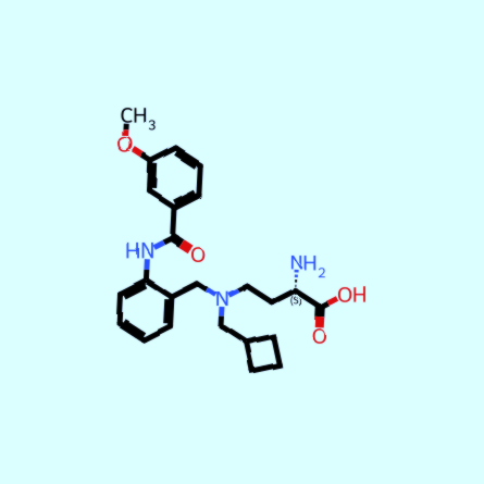 COc1cccc(C(=O)Nc2ccccc2CN(CC[C@H](N)C(=O)O)CC2CCC2)c1